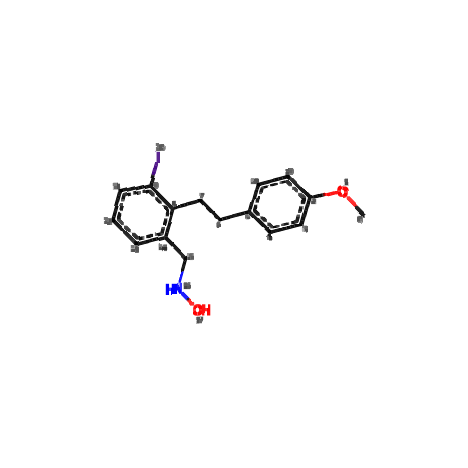 COc1ccc(CCc2c(I)cccc2CNO)cc1